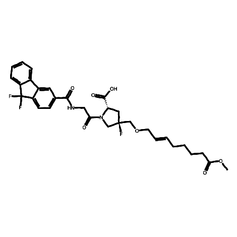 COC(=O)CCCC/C=C/COC[C@@]1(F)C[C@@H](C(=O)O)N(C(=O)CNC(=O)c2ccc3c(c2)-c2ccccc2C3(F)F)C1